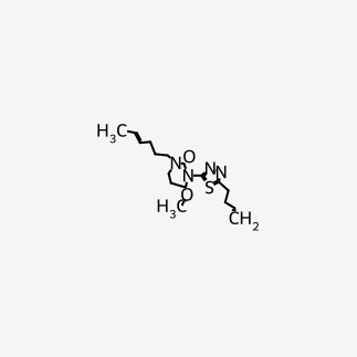 C=CCCc1nnc(N2C(=O)N(CCCC=CC)CCC2OC)s1